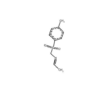 CC=NCS(=O)(=O)c1ccc(C)cc1